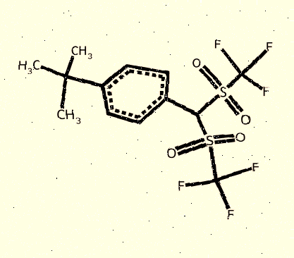 CC(C)(C)c1ccc(C(S(=O)(=O)C(F)(F)F)S(=O)(=O)C(F)(F)F)cc1